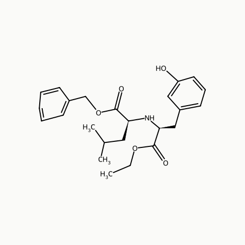 CCOC(=O)[C@H](Cc1cccc(O)c1)N[C@@H](CC(C)C)C(=O)OCc1ccccc1